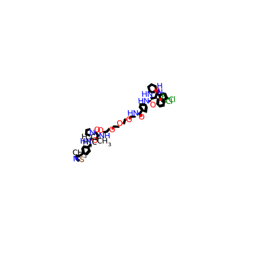 Cc1ncsc1-c1ccc(CNC(=O)[C@@H]2CCCN2C(=O)C(NC(=O)CCOCCOCCOCCNC(=O)c2ccc(NC(=O)[C@@H]3NC4(CCCCC4)[C@@]4(C(=O)Nc5cc(Cl)ccc54)[C@H]3c3cccc(Cl)c3F)cc2)C(C)(C)C)cc1